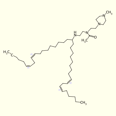 CCCCC/C=C\C/C=C\CCCCCCCCC(CCCCCCCC/C=C\C/C=C\CCCCC)NCCN(CCN1CCN(C)CC1)C(C)=O